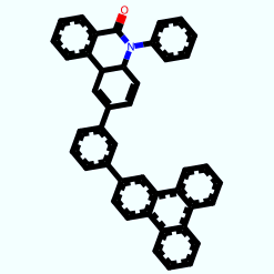 O=C1c2ccccc2C2C=C(c3cccc(-c4ccc5c6ccccc6c6ccccc6c5c4)c3)C=CC2N1c1ccccc1